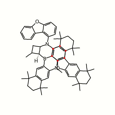 CC1CC2[C@H]1B(c1cc3c(cc1N(C)c1ccc4c(c1)C(C)(C)CCC4(C)C)C(C)(C)CCC3(C)C)c1c(ccc3c1oc1cc4c(cc13)C(C)(C)CCC4(C)C)N2c1cccc2oc3ccccc3c12